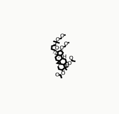 COCO[C@H]1C[C@@]2(C)[C@@H]3C[C@H](OC(C)=O)[C@H]4C(C)(C)[C@@H](OC(C)=O)CC[C@@]45CC35CC[C@]2(C)[C@H]1[C@@]1(C)CC[C@@H](C(C)(C)OCOC)O1